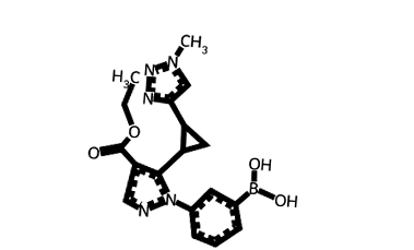 CCOC(=O)c1cnn(-c2cccc(B(O)O)c2)c1C1CC1c1cn(C)nn1